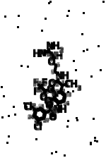 CC(C(=O)NCCONC(=N)N)c1ccc(NS(=O)(=O)c2cc(Cl)cc(Cl)c2)c(=O)n1OC(=O)C(F)(F)F